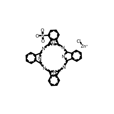 O=S(=O)([O-])c1cccc2c3nc4nc(nc5[nH]c(nc6nc(nc([nH]3)c12)-c1ccccc1-6)c1ccccc51)-c1ccccc1-4.[Cl][Zn+]